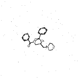 O=C(OCC(CN1CCOCC1)OC(=O)c1ccccc1)c1ccccc1